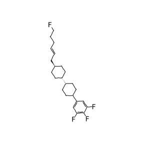 FCCC/C=C/C[C@H]1CC[C@H](C2CCC(c3cc(F)c(F)c(F)c3)CC2)CC1